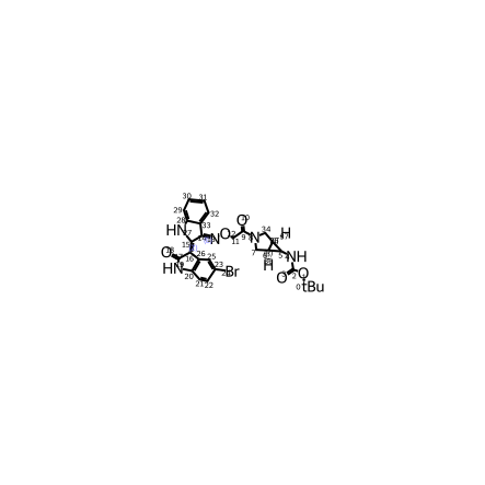 CC(C)(C)OC(=O)NC1[C@H]2CN(C(=O)CO/N=C3/C(=C4/C(=O)Nc5ccc(Br)cc54)Nc4ccccc43)C[C@@H]12